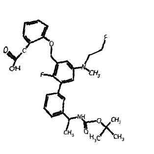 CC(NC(=O)OC(C)(C)C)c1cccc(-c2cc(N(C)CCF)cc(COc3ccccc3CC(=O)O)c2F)c1